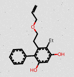 C=CCOCCc1c(CC)c(O)cc(O)c1-c1ccccc1